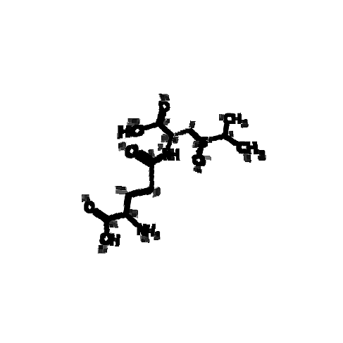 CC(C)[S+]([O-])C[C@H](NC(=O)CCC(N)C(=O)O)C(=O)O